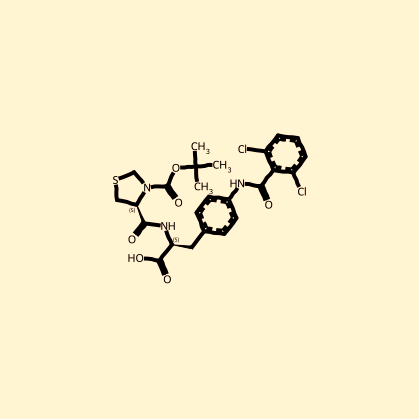 CC(C)(C)OC(=O)N1CSC[C@@H]1C(=O)N[C@@H](Cc1ccc(NC(=O)c2c(Cl)cccc2Cl)cc1)C(=O)O